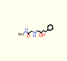 CC(C)(C)NC(=O)CN[CH]C(O)CCc1ccccc1